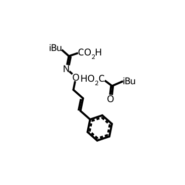 CCC(C)C(=NOCC=Cc1ccccc1)C(=O)O.CCC(C)C(=O)C(=O)O